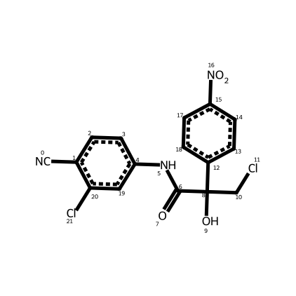 N#Cc1ccc(NC(=O)C(O)(CCl)c2ccc([N+](=O)[O-])cc2)cc1Cl